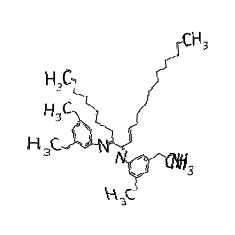 CCCCCCCCCCC/C=C/C(=N\c1cc(CC)cc(CC)c1)C(/CCCCCCCC)=N/c1cc(CC)cc(CC)c1.[Ni]